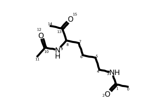 CC(=O)NCCCCC(NC(C)=O)C(C)=O